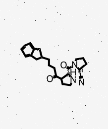 N#C[C@@H]1CCCN1C(=O)[C@@H]1NCCC1C(=O)CCCC1Cc2ccccc2C1